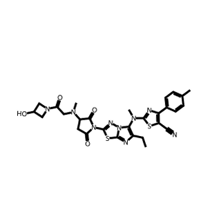 CCc1nc2sc(N3C(=O)CC(N(C)CC(=O)N4CC(O)C4)C3=O)nn2c1N(C)c1nc(-c2ccc(C)cc2)c(C#N)s1